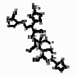 Nc1nc(C(=NOC2CCOC2=O)C(=O)NC2C(=O)N3C(C(=O)O)=C(CSc4nncs4)CS[C@@H]23)ns1